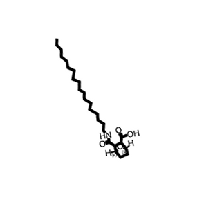 CCCCCCCCCCCCCCCCCCNC(=O)C1C(C(=O)O)[C@@H]2CC[C@H]1O2